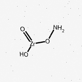 N[O][Zr](=[O])[OH]